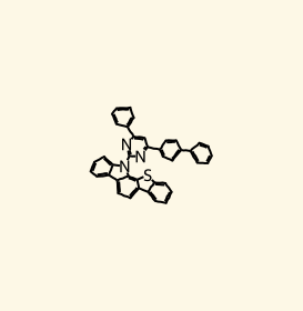 c1ccc(-c2ccc(-c3cc(-c4ccccc4)nc(-n4c5ccccc5c5ccc6c7ccccc7sc6c54)n3)cc2)cc1